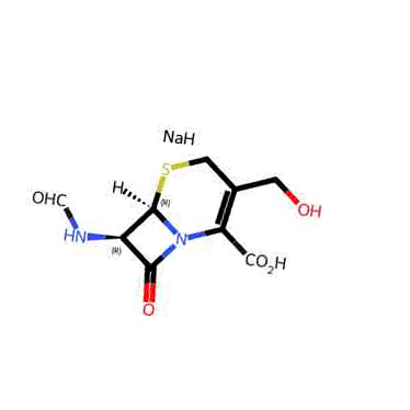 O=CN[C@@H]1C(=O)N2C(C(=O)O)=C(CO)CS[C@H]12.[NaH]